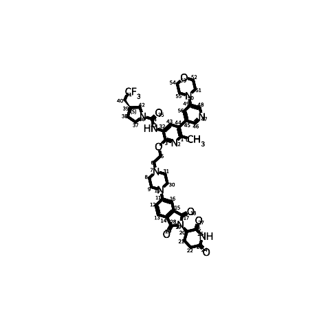 Cc1nc(OCCN2CCN(c3ccc4c(c3)C(=O)N(C3CCC(=O)NC3=O)C4=O)CC2)c(NC(=O)N2CC[C@@H](CC(F)(F)F)C2)cc1-c1cncc(N2CCOCC2)c1